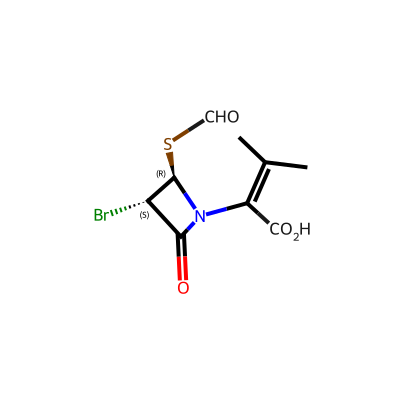 CC(C)=C(C(=O)O)N1C(=O)[C@H](Br)[C@H]1SC=O